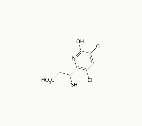 O=C(O)CC(S)c1nc(O)c(Cl)cc1Cl